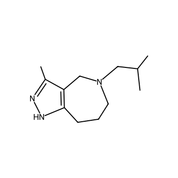 Cc1n[nH]c2c1CN(CC(C)C)CCC2